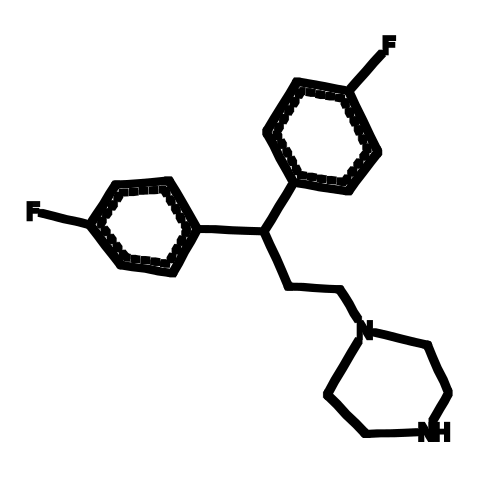 Fc1ccc(C(CCN2CCNCC2)c2ccc(F)cc2)cc1